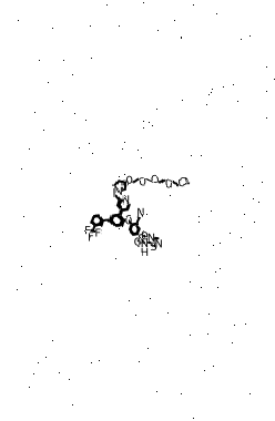 COCCOCCOCCOCCO[C@@H]1CCN(Cc2cc(-c3cc(-c4cccc(C(F)(F)F)c4)ccc3Oc3ccc(S(=O)(=O)Nc4ncns4)cc3C#N)ccn2)C1